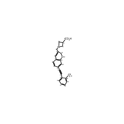 O=C(O)C1CN(CC2=Cc3ccc(C#Cc4ccccc4C(F)(F)F)cc3OC2)C1